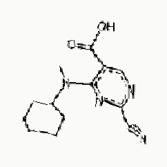 CN(c1nc(C#N)ncc1C(=O)O)C1CCCCC1